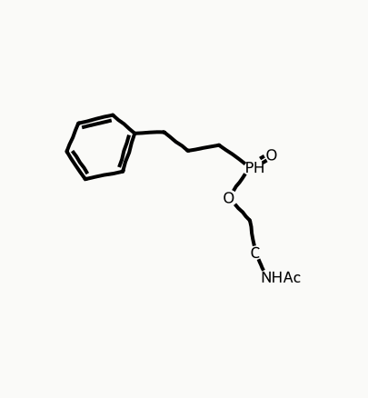 CC(=O)NCCO[PH](=O)CCCc1ccccc1